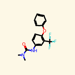 CN(C)C(=O)Nc1ccc(Oc2ccccc2)c(C(F)(F)F)c1